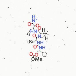 COC(=O)OC[C@@H](NC(=O)N[C@H](C(=O)N1C[C@H]2[C@@H](C1C(=O)NC(CC1CC1)C(=O)C(N)=O)C2(C)C)C(C)(C)C)C1CCCC1